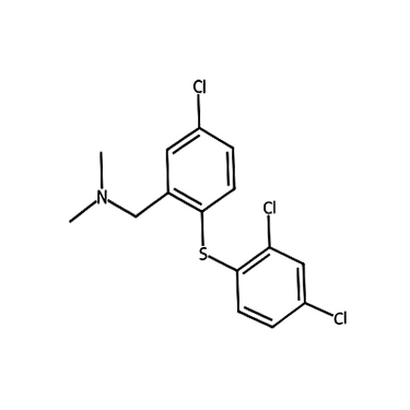 CN(C)Cc1cc(Cl)ccc1Sc1ccc(Cl)cc1Cl